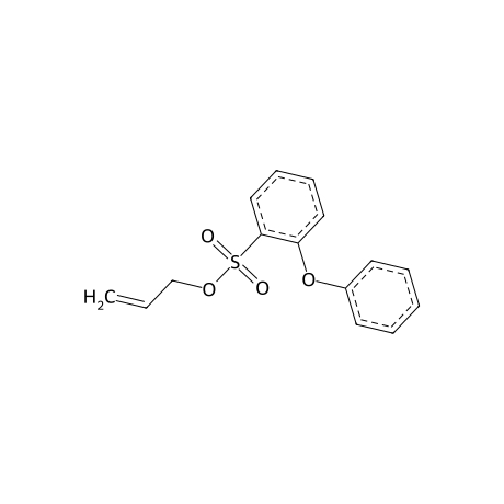 C=CCOS(=O)(=O)c1ccccc1Oc1ccccc1